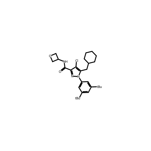 CC(C)(C)c1cc(-n2nc(C(=O)NC3COC3)c(Cl)c2CC2CCCCC2)cc(C(C)(C)C)c1